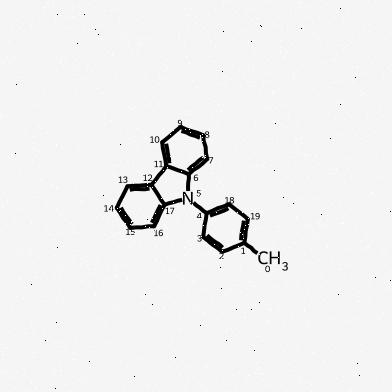 Cc1ccc(-n2c3ccccc3c3ccccc32)cc1